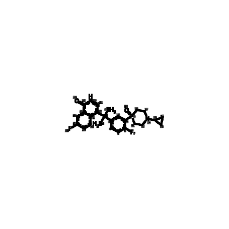 BC(B)(c1ccc(F)c(P2(=O)CCN(C3CC3)CC2)c1)c1n[nH]c(=O)c2cc(F)ccc12